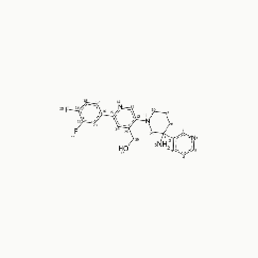 NC1(c2cccnc2)CCCN(c2cnc(-c3ccc(F)c(F)c3)cc2CO)C1